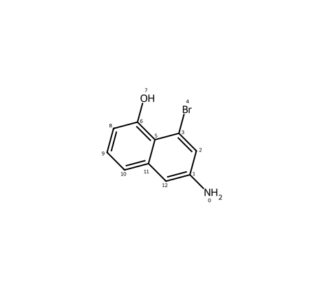 Nc1cc(Br)c2c(O)cccc2c1